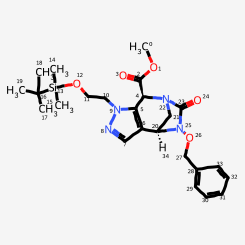 COC(=O)[C@@H]1c2c(cnn2CCO[Si](C)(C)C(C)(C)C)[C@H]2CN1C(=O)N2OCc1ccccc1